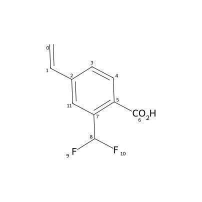 C=Cc1ccc(C(=O)O)c(C(F)F)c1